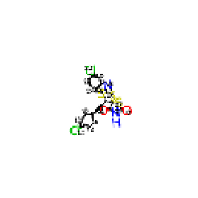 O=C1NC(=O)C(CC#Cc2ccc(Cl)cc2)(Sc2nc3cc(Cl)ccc3s2)S1